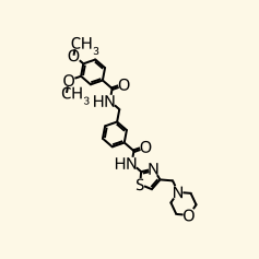 COc1ccc(C(=O)NCc2cccc(C(=O)Nc3nc(CN4CCOCC4)cs3)c2)cc1OC